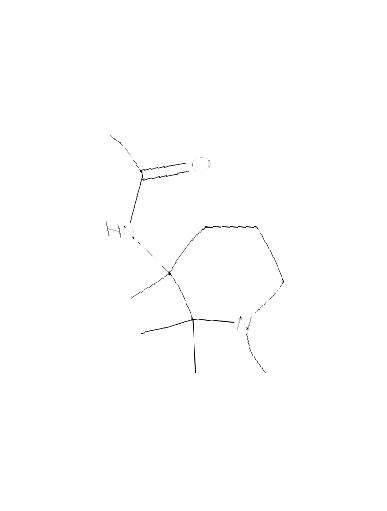 CC(=O)NC1(C)CCCN(C)C1(C)C